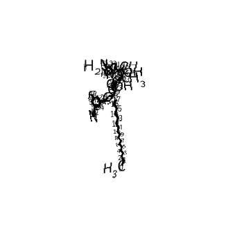 CCCCCCCCCCCCCCCCCC[C@@H](COP(=O)(O)OC[C@@]1(C)OC(c2ccc3c(N)ncnn23)=C(O)[C@@H]1O)OCc1cc(F)cc(C#N)c1